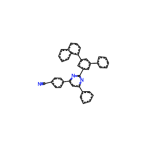 N#Cc1ccc(-c2cc(-c3ccccc3)nc(-c3cc(-c4ccccc4)cc(-c4cccc5ccccc45)c3)n2)cc1